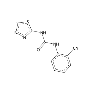 N#Cc1ccccc1NC(=O)Nc1nn[c]s1